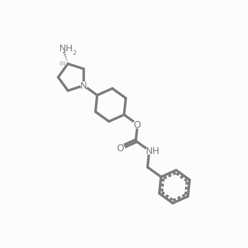 N[C@H]1CCN(C2CCC(OC(=O)NCc3ccccc3)CC2)C1